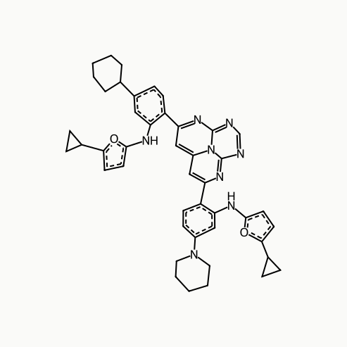 C1=NC2=NC(c3ccc(N4CCCCC4)cc3Nc3ccc(C4CC4)o3)=CC3=CC(c4ccc(C5CCCCC5)cc4Nc4ccc(C5CC5)o4)=NC(=N1)N32